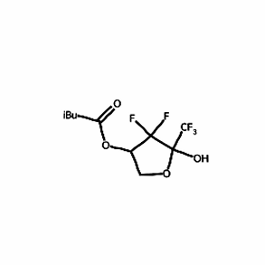 CCC(C)C(=O)OC1COC(O)(C(F)(F)F)C1(F)F